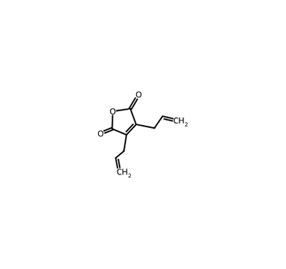 C=CCC1=C(CC=C)C(=O)OC1=O